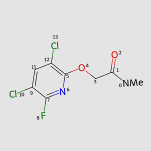 CNC(=O)COc1nc(F)c(Cl)cc1Cl